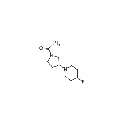 CC(=O)N1CCC(N2CCC(F)CC2)C1